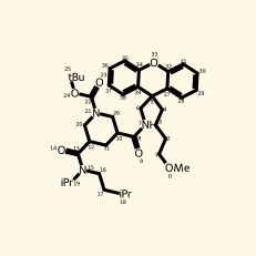 COCCCCC1(CNC(=O)C2CC(C(=O)N(CCC(C)C)C(C)C)CN(C(=O)OC(C)(C)C)C2)c2ccccc2Oc2ccccc21